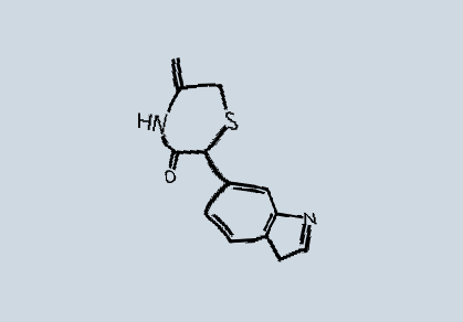 C=C1CSC(c2ccc3c(c2)N=CC3)C(=O)N1